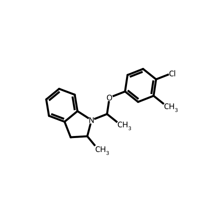 Cc1cc(OC(C)N2c3ccccc3CC2C)ccc1Cl